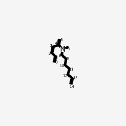 C=C/C=C\C(=C)N(C)CCCCCC=C